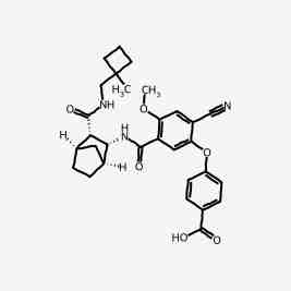 COc1cc(C#N)c(Oc2ccc(C(=O)O)cc2)cc1C(=O)N[C@@H]1[C@H]2CC[C@H](C2)[C@@H]1C(=O)NCC1(C)CCC1